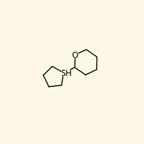 C1CCC([SH]2CCCC2)OC1